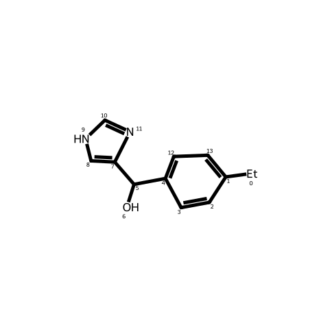 CCc1ccc(C(O)c2c[nH]cn2)cc1